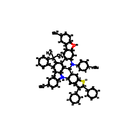 CC(C)(C)c1ccc(N2B3c4cc5sc(-c6ccccc6)c(-c6ccccc6)c5cc4-n4c5ccc(C(C)(C)C)cc5c5c6c(c(c3c54)-c3cc4c(cc32)oc2ccc(C(C)(C)C)cc24)C(C)(C)c2ccccc2-6)cc1